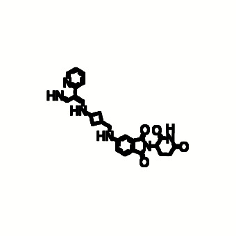 N=C/C(=C\NC1CC(CNc2ccc3c(c2)C(=O)N(C2CCC(=O)NC2=O)C3=O)C1)c1ccccn1